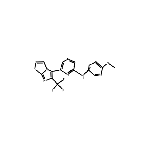 COc1ccc(Nc2cncc(-c3c(C(F)(F)F)nc4sccn34)n2)cc1